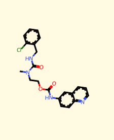 CN(CCOC(=O)Nc1ccc2ncccc2c1)C(=O)NCc1ccccc1Cl